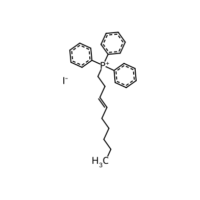 CCCCCC=CCC[P+](c1ccccc1)(c1ccccc1)c1ccccc1.[I-]